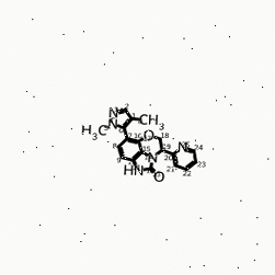 Cc1cnn(C)c1-c1ccc2[nH]c(=O)n3c2c1OCC3c1ccccn1